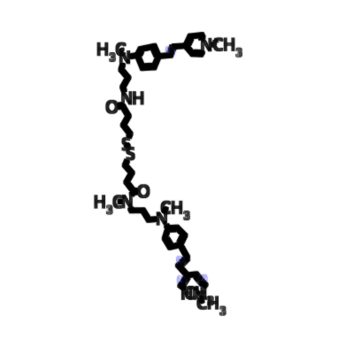 C/C=C(\C=C/NC)/C=C/c1ccc(N(C)CCCN(C)C(=O)CCCSSCCCC(=O)NCCCN(C)c2ccc(/C=C/c3cc[n+](C)cc3)cc2)cc1